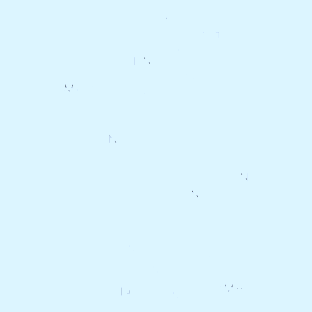 CCCS(=O)(=O)Nc1cc(-c2cnc3cc(OC)c(S(=O)(=O)C(C)(C)C)cn23)cnc1OC